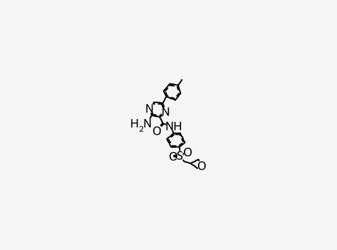 Cc1ccc(-c2cnc(N)c(C(=O)Nc3ccc(S(=O)(=O)CC4COC4)cc3)n2)cc1